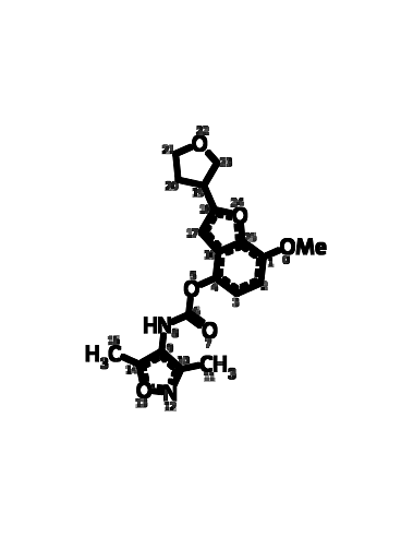 COc1ccc(OC(=O)Nc2c(C)noc2C)c2cc(C3CCOC3)oc12